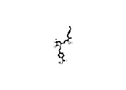 CCC#CCC(C)C(O)/C=C/C1CC(F)(F)C(=O)N1CCc1ccc(C(=O)O)cc1